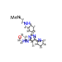 CNCCNCc1cccc(-c2nc(NC3CCOCC3)c(C)c(-c3ccccn3)n2)c1